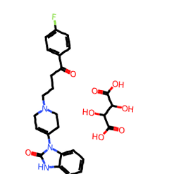 O=C(CCCN1CC=C(n2c(=O)[nH]c3ccccc32)CC1)c1ccc(F)cc1.O=C(O)C(O)C(O)C(=O)O